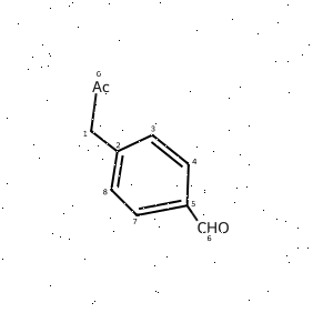 CC(=O)Cc1ccc(C=O)cc1